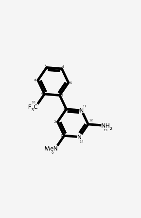 CNc1cc(-c2ccccc2C(F)(F)F)nc(N)n1